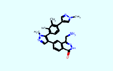 Cc1c(-c2cnn(C)c2)ccc(-c2c(-c3ccc4c(=O)[nH]nc(CN)c4c3)cnn2C)c1C#N